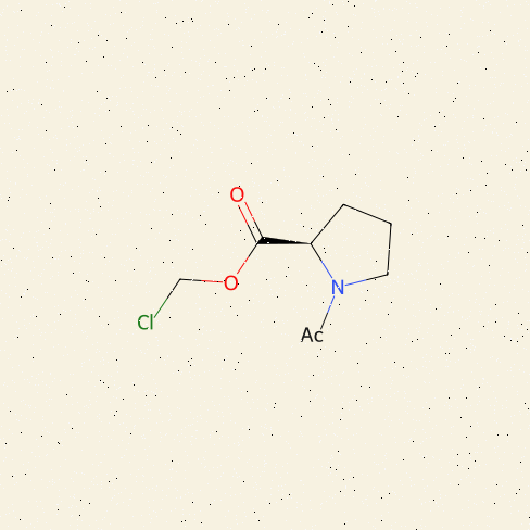 CC(=O)N1CCC[C@@H]1C(=O)OCCl